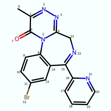 Cc1nnc2n(c1=O)-c1ccc(Br)cc1C(c1ccccn1)=NC2